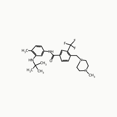 Cc1ccc(NC(=O)c2ccc(CN3CCN(C)CC3)c(C(F)(F)F)c2)cc1NC(C)(C)C